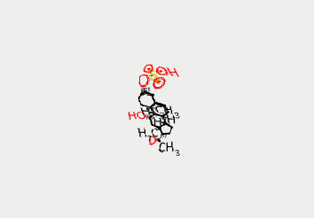 CC(=O)[C@H]1CC[C@H]2[C@@H]3CC=C4C[C@@H](OS(=O)(=O)O)CC[C@]4(C)[C@H]3[C@@H](O)C[C@]12C